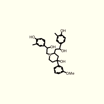 COc1cccc(C2(O)CCN(CC(O)c3ccc(O)c(C)c3)C(CC(O)c3ccc(O)c(C)c3)C2)c1